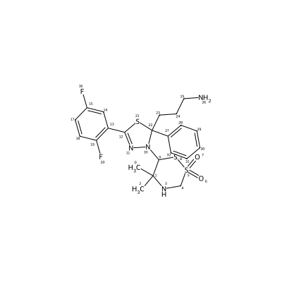 CC1(C)NCS(=O)(=O)SC1N1N=C(c2cc(F)ccc2F)SC1(CCCN)c1ccccc1